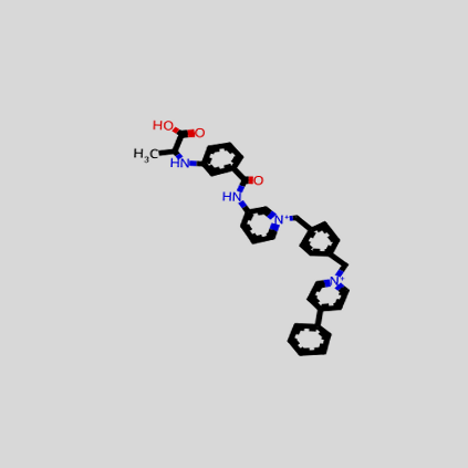 CC(Nc1cccc(C(=O)Nc2ccc[n+](Cc3ccc(C[n+]4ccc(-c5ccccc5)cc4)cc3)c2)c1)C(=O)O